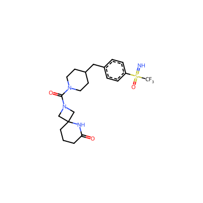 N=S(=O)(c1ccc(CC2CCN(C(=O)N3CC4(CCCC(=O)N4)C3)CC2)cc1)C(F)(F)F